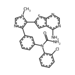 Cn1cnc(-c2cccc(N(C(N)=O)c3ccccc3Cl)c2)c1-c1cc2c(N)ncnc2s1